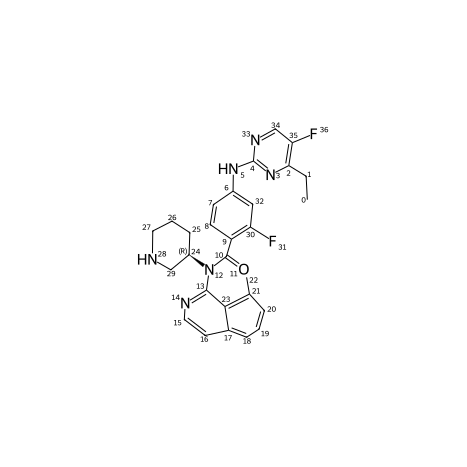 CCc1nc(Nc2ccc(C(=O)N(c3nccc4cccc(C)c34)[C@@H]3CCCNC3)c(F)c2)ncc1F